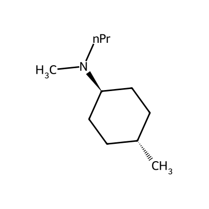 CCCN(C)[C@H]1CC[C@H](C)CC1